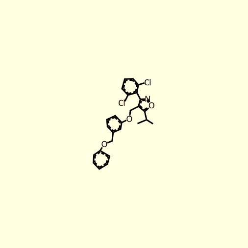 CC(C)c1onc(-c2c(Cl)cccc2Cl)c1COc1cccc(COc2ccccc2)c1